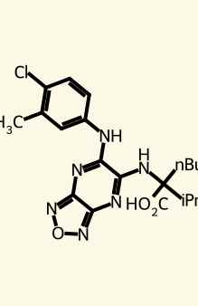 CCCCC(Nc1nc2nonc2nc1Nc1ccc(Cl)c(C)c1)(C(=O)O)C(C)C